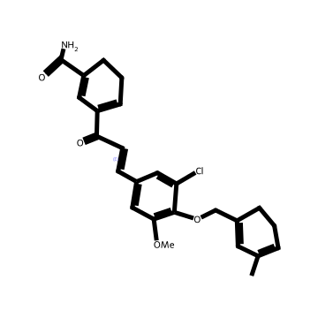 COc1cc(/C=C/C(=O)C2=CCCC(C(N)=O)=C2)cc(Cl)c1OCC1=CC(C)=CCC1